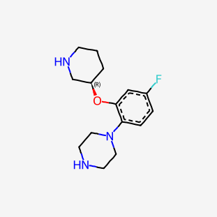 Fc1ccc(N2CCNCC2)c(O[C@@H]2CCCNC2)c1